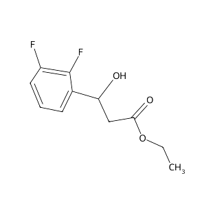 CCOC(=O)CC(O)c1cccc(F)c1F